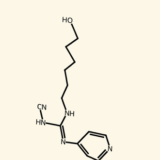 N#CNC(=Nc1ccncc1)NCCCCCCO